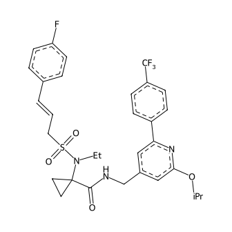 CCN(C1(C(=O)NCc2cc(OC(C)C)nc(-c3ccc(C(F)(F)F)cc3)c2)CC1)S(=O)(=O)CC=Cc1ccc(F)cc1